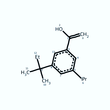 C=C(O)c1cc(C(C)C)cc(C(C)(C)CC)c1